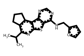 CC(C)c1nc2sc3c(NCc4ccco4)ncnc3c2c2c1CCC2